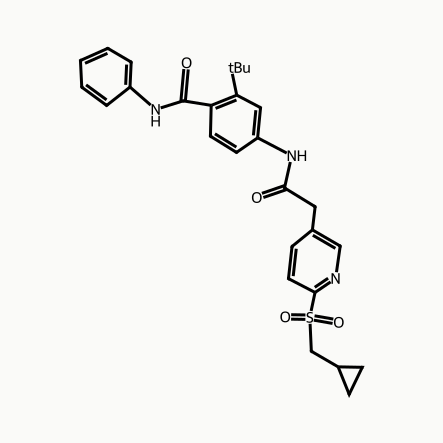 CC(C)(C)c1cc(NC(=O)Cc2ccc(S(=O)(=O)CC3CC3)nc2)ccc1C(=O)Nc1ccccc1